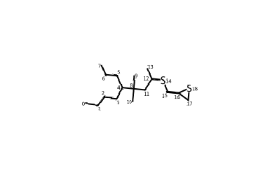 CCCCC(CCC)C(C)(C)CC(C)SCC1CS1